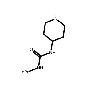 CCCNC(=O)NC1CCNCC1